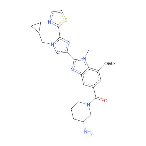 COc1cc(C(=O)N2CCC[C@@H](N)C2)cc2nc(-c3cn(CC4CC4)c(-c4nccs4)n3)n(C)c12